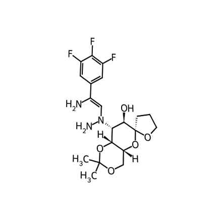 CC1(C)OC[C@H]2O[C@@]3(CCCO3)[C@H](O)[C@@H](N(N)/C=C(\N)c3cc(F)c(F)c(F)c3)[C@H]2O1